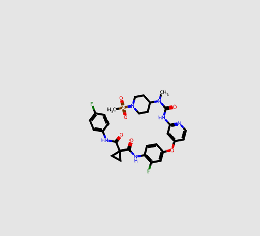 CN(C(=O)Nc1cc(Oc2ccc(NC(=O)C3(C(=O)Nc4ccc(F)cc4)CC3)c(F)c2)ccn1)C1CCN(S(C)(=O)=O)CC1